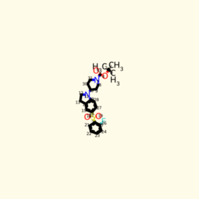 CC(C)(C)OC(=O)N1CCC(N2CCc3cc(S(=O)(=O)c4ccccc4F)ccc32)CC1